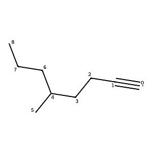 [C]#CCCC(C)CCC